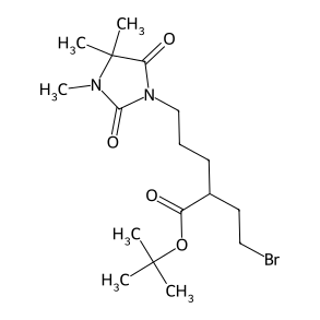 CN1C(=O)N(CCCC(CCBr)C(=O)OC(C)(C)C)C(=O)C1(C)C